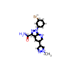 Cn1cc(-c2cnc3c(c2)c(C(N)=O)nn3-c2cccc(Br)c2)cn1